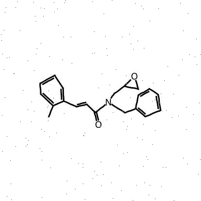 Cc1ccccc1C=CC(=O)N(Cc1ccccc1)CC1CO1